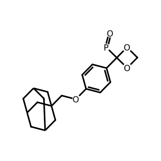 O=PC1(c2ccc(OCC34CC5CC(CC(C5)C3)C4)cc2)OCO1